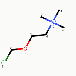 C[N+](C)(C)CCOCCl